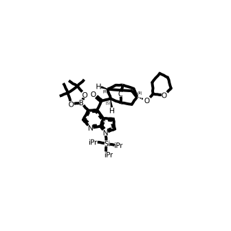 CC(C)[Si](C(C)C)(C(C)C)n1ccc2c(C(=O)[C@H]3C4CC5C[C@@H]3C[C@@](OC3CCCCO3)(C5)C4)c(B3OC(C)(C)C(C)(C)O3)cnc21